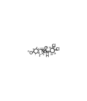 COc1ccc2c(c1)CC1CCC2N1C(=O)Nc1ccc(Cl)c(Cl)c1